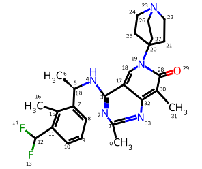 Cc1nc(N[C@H](C)c2cccc(C(F)F)c2C)c2cn(C34CCN(CC3)CC4)c(=O)c(C)c2n1